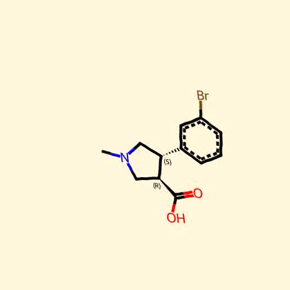 CN1C[C@H](C(=O)O)[C@@H](c2cccc(Br)c2)C1